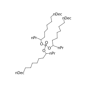 CCCCCCCCCCCCCCCCC(CCC)OP(=O)(OC(CCC)CCCCCCCCCCCCCCCC)OC(CCC)CCCCCCCCCCCCCCCC